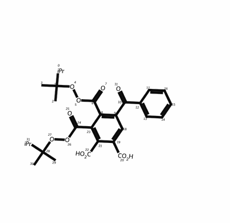 CC(C)C(C)(C)OOC(=O)c1c(C(=O)c2ccccc2)cc(C(=O)O)c(C(=O)O)c1C(=O)OOC(C)(C)C(C)C